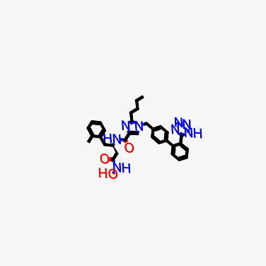 CCCCc1nc(C(=O)N[C@@H](CC(=O)NO)Cc2ccccc2C)cn1Cc1ccc(-c2ccccc2-c2nnn[nH]2)cc1